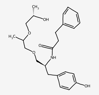 CC(COC[C@H](Cc1ccc(O)cc1)NC(=O)CCc1ccccc1)OC[C@H](C)O